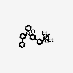 CCOB(OC(C)(C)CC)c1cccc(-c2ccc3c(c2)Oc2ccccc2N3c2cccc(-c3ccccc3)c2)c1